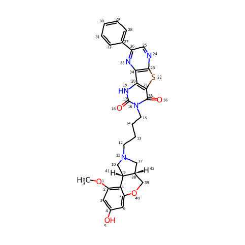 COc1cc(O)cc2c1[C@@H]1CN(CCCCn3c(=O)[nH]c4c(sc5ncc(-c6ccccc6)nc54)c3=O)C[C@@H]1CO2